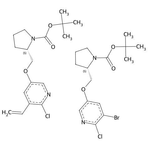 C=Cc1cc(OC[C@@H]2CCCN2C(=O)OC(C)(C)C)cnc1Cl.CC(C)(C)OC(=O)N1CCC[C@H]1COc1cnc(Cl)c(Br)c1